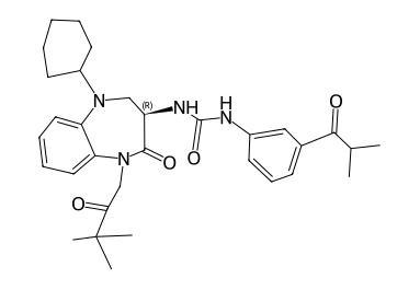 CC(C)C(=O)c1cccc(NC(=O)N[C@@H]2CN(C3CCCCC3)c3ccccc3N(CC(=O)C(C)(C)C)C2=O)c1